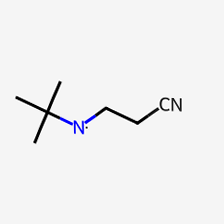 CC(C)(C)[N]CCC#N